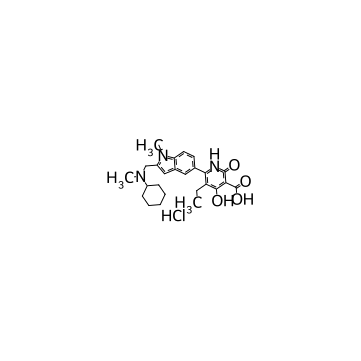 CCc1c(-c2ccc3c(c2)cc(CN(C)C2CCCCC2)n3C)[nH]c(=O)c(C(=O)O)c1O.Cl